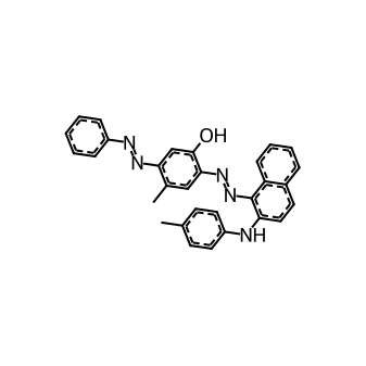 Cc1ccc(Nc2ccc3ccccc3c2/N=N/c2cc(C)c(/N=N/c3ccccc3)cc2O)cc1